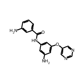 Nc1cc(NC(=O)c2cccc(N)c2)cc(Oc2cncnc2)c1